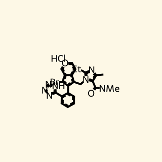 CCc1nc(C)c(C(=O)NC)n1Cc1c2ccocc-2c(Br)c1-c1ccccc1-c1nnn[nH]1.Cl